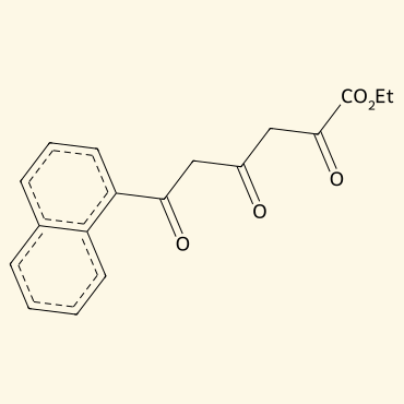 CCOC(=O)C(=O)CC(=O)CC(=O)c1cccc2ccccc12